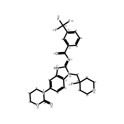 O=C(/N=c1\[nH]c2cc(N3CCCOC3=O)ccc2n1CC1(F)CCOCC1)c1cccc(C(F)(F)F)c1